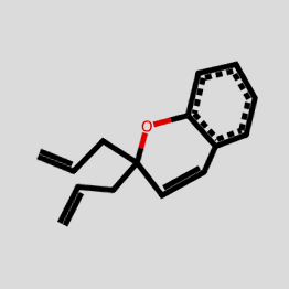 C=CCC1(CC=C)C=Cc2ccccc2O1